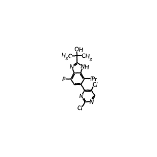 CC(C)c1c(-c2nc(Cl)ncc2Cl)cc(F)c2nc(C(C)(C)O)[nH]c12